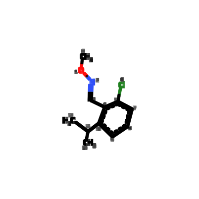 CON=Cc1c(Cl)cccc1C(C)C